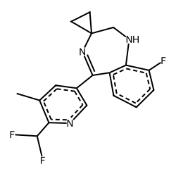 Cc1cc(C2=NC3(CC3)CNc3c(F)cccc32)cnc1C(F)F